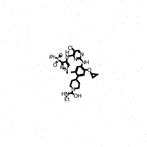 CCNC(O)N1CCC(c2cc(OC3CC3)c(Nc3ncc(Cl)c(Nc4cn(C)nc4S(=O)(=O)C(C)C)n3)cc2C)CC1